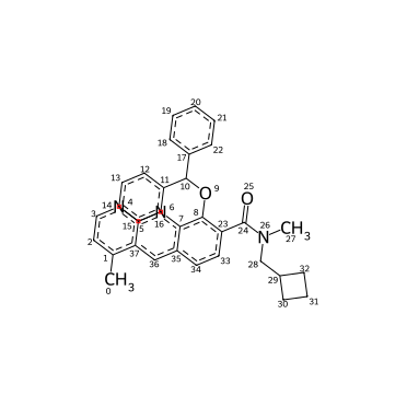 Cc1ccnc2nc3c(OC(c4ccccc4)c4ccccc4)c(C(=O)N(C)CC4CCC4)ccc3cc12